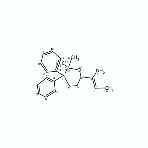 CC=C(N)C1CC[Si](c2ccccc2)(c2ccccc2)[Si](C)(C)O1